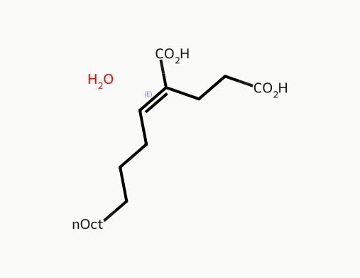 CCCCCCCCCCC/C=C(\CCC(=O)O)C(=O)O.O